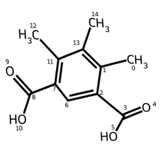 Cc1c(C(=O)O)cc(C(=O)O)c(C)c1C